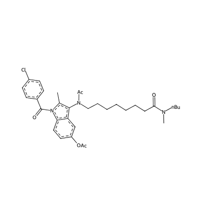 CCCCN(C)C(=O)CCCCCCCN(C(C)=O)c1c(C)n(C(=O)c2ccc(Cl)cc2)c2ccc(OC(C)=O)cc12